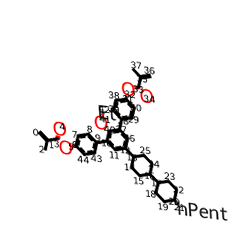 C=C(C)C(=O)Oc1ccc(-c2cc(C3CCC(C4CCC(CCCCC)CC4)CC3)cc(-c3ccc(OC(=O)C(=C)C)cc3)c2OCC)cc1